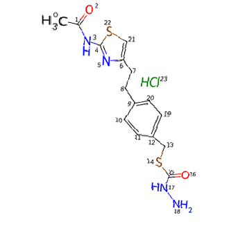 CC(=O)Nc1nc(CCc2ccc(CSC(=O)NN)cc2)cs1.Cl